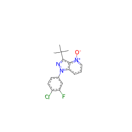 CC(C)(C)c1nn(-c2ccc(Cl)c(F)c2)c2ccc[n+]([O-])c12